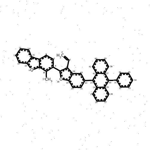 C=Cc1c(-c2ccc3c(oc4ccccc43)c2C)oc2ccc(-c3c4ccccc4c(-c4ccccc4)c4ccccc34)cc12